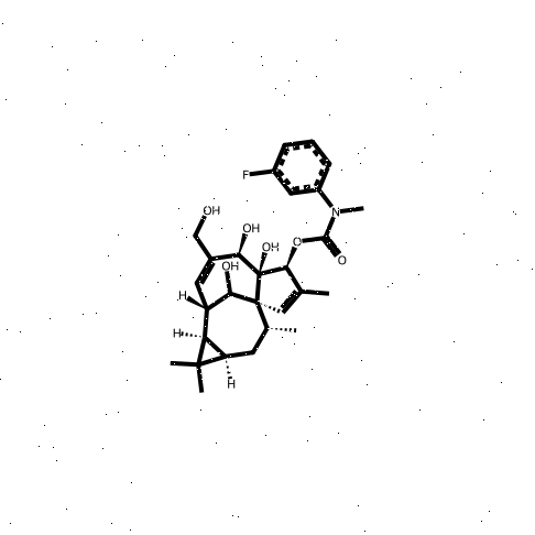 CC1=C[C@]23C(O)[C@@H](C=C(CO)[C@@H](O)[C@]2(O)[C@H]1OC(=O)N(C)c1cccc(F)c1)[C@H]1[C@@H](C[C@H]3C)C1(C)C